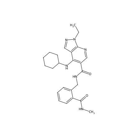 CCn1ncc2c(NC3CCCCC3)c(C(=O)NCc3ccccc3C(=O)NC)cnc21